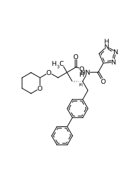 CC(COC1CCCCO1)(C[C@@H](Cc1ccc(-c2ccccc2)cc1)NC(=O)c1c[nH]nn1)C(=O)O